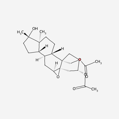 CC(=O)OC[C@]12CC[C@H](OC(C)=O)C[C@@]13O[C@H]3C[C@@H]1[C@@H]2CC[C@@]2(C)[C@H]1CC[C@]2(C)O